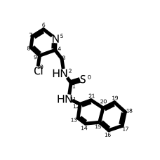 S=C(NCc1ncccc1Cl)Nc1ccc2ccccc2c1